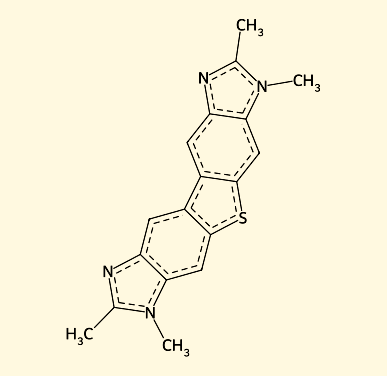 Cc1nc2cc3c(cc2n1C)sc1cc2c(cc13)nc(C)n2C